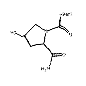 CCCCCC(=O)N1CC(O)CC1C(N)=O